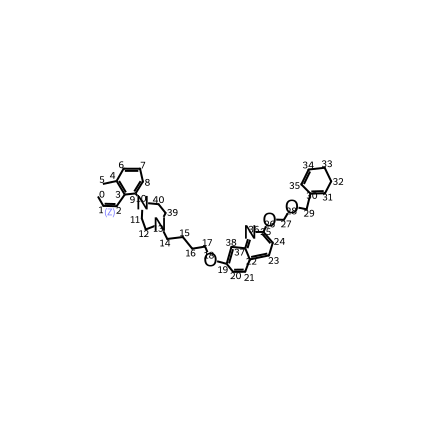 C/C=C\c1c(C)cccc1N1CCN(CCCCOc2ccc3ccc(OCOCC4=CCCC=C4)nc3c2)CC1